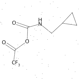 O=C(NCC1CC1)OC(=O)C(F)(F)F